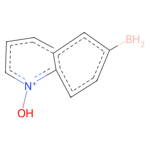 Bc1ccc2c(ccc[n+]2O)c1